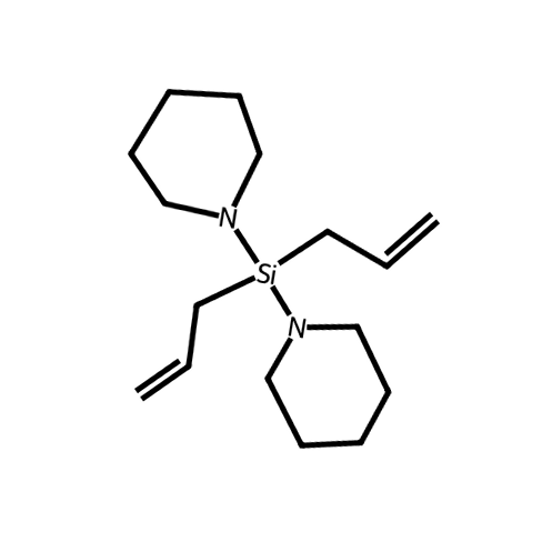 C=CC[Si](CC=C)(N1CCCCC1)N1CCCCC1